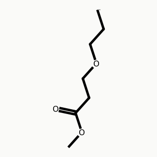 [CH2]CCOCCC(=O)OC